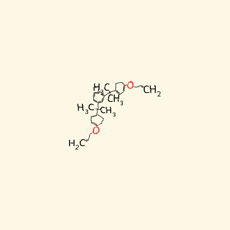 C=CCOC1=CC=C(C(C)(C)c2cccc(C(C)(C)C3=CC=C(OCC=C)CC3)c2)CC1